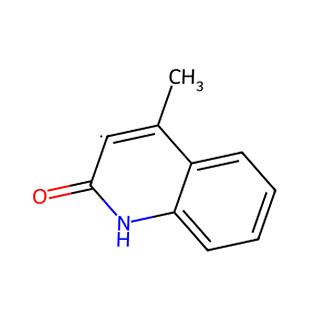 Cc1[c]c(=O)[nH]c2ccccc12